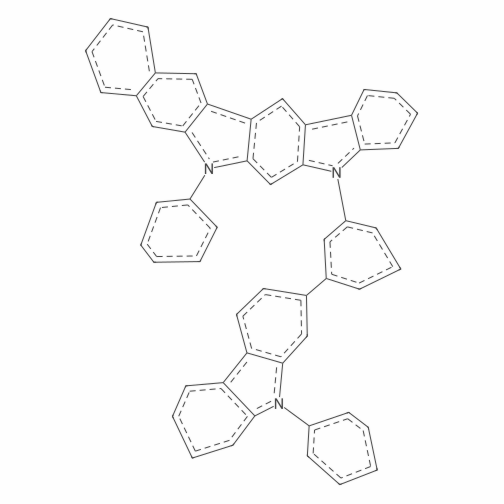 c1ccc(-n2c3ccccc3c3ccc(-c4cccc(-n5c6ccccc6c6cc7c8cc9ccccc9cc8n(-c8ccccc8)c7cc65)c4)cc32)cc1